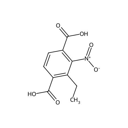 CCc1c(C(=O)O)ccc(C(=O)O)c1[N+](=O)[O-]